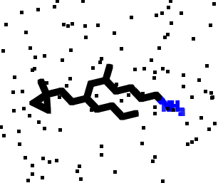 CCCCC(CCC1(C)CC1)CC(C)CCCCN